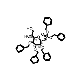 O=P(OCc1ccccc1)(OCc1ccccc1)O[C@@H]1O[C@H]([C@H](O)CO)[C@@H](OCc2ccccc2)[C@H](OCc2ccccc2)[C@@H]1OCc1ccccc1